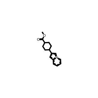 COC(=O)C1CCC(c2cc3ccccn3c2)CC1